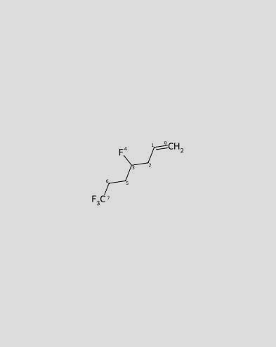 C=CCC(F)CCC(F)(F)F